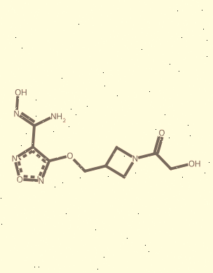 N/C(=N\O)c1nonc1OCC1CN(C(=O)CO)C1